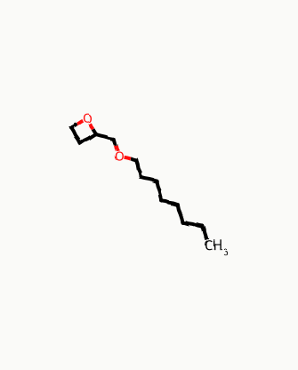 CCCCCCCCOCC1CCO1